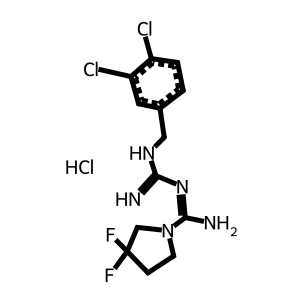 Cl.N=C(N=C(N)N1CCC(F)(F)C1)NCc1ccc(Cl)c(Cl)c1